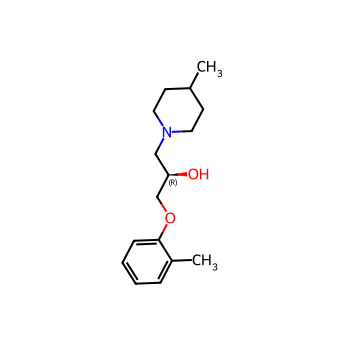 Cc1ccccc1OC[C@H](O)CN1CCC(C)CC1